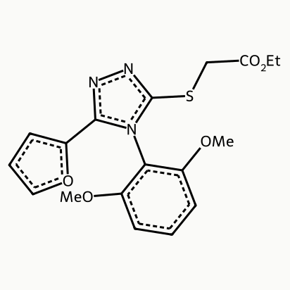 CCOC(=O)CSc1nnc(-c2ccco2)n1-c1c(OC)cccc1OC